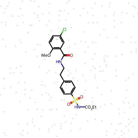 CCOC(=O)NS(=O)(=O)c1ccc(CCNC(=O)c2cc(Cl)ccc2OC)cc1